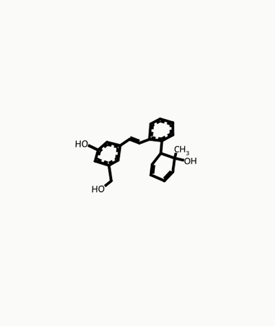 CC1(O)C=CC=CC1c1ccccc1C=Cc1cc(O)cc(CO)c1